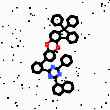 c1ccc(-c2nc(-c3ccccc3-c3ccc4c(c3)Oc3ccc5c(c3O4)-c3ccccc3C5(c3ccccc3)c3ccccc3)nc(-c3cccc4ccccc34)n2)cc1